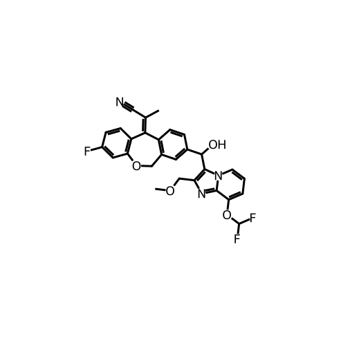 COCc1nc2c(OC(F)F)cccn2c1C(O)c1ccc2c(c1)COc1cc(F)ccc1/C2=C(/C)C#N